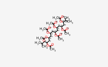 CC(=O)OC(CC(C)C)CC(CC(CC(CC(CC(CC(OC(C)=O)C(C)C)OC(C)=O)OC(C)=O)OC(C)=O)OC(C)=O)OC(C)=O